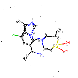 CC(N)c1cc(Cl)c2c(C#N)ncn2c1N1CCS(O)(O)C(C)C1